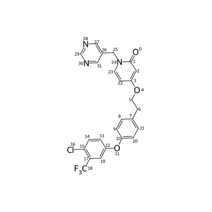 O=c1cc(OCCc2ccc(Oc3ccc(Cl)c(C(F)(F)F)c3)cc2)ccn1Cc1cncnc1